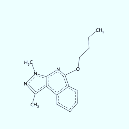 CCCCOc1nc2c(c(C)nn2C)c2ccccc12